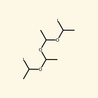 CC(I)OC(C)OC(C)OC(C)I